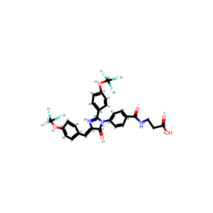 O=C(O)CCNC(=O)c1ccc(N2C(=O)/C(=C/c3ccc(OC(F)(F)F)cc3)N=C2c2ccc(OC(F)(F)F)cc2)cc1